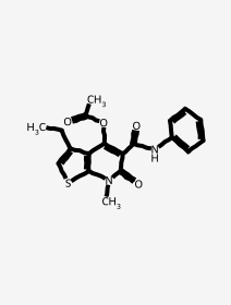 CCc1csc2c1c(OC(C)=O)c(C(=O)Nc1ccccc1)c(=O)n2C